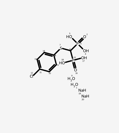 O.O.O=P(O)(O)C(Sc1ccc(Cl)cc1)P(=O)(O)O.[NaH].[NaH]